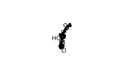 C=C(C)C(=O)OCCOc1ccc(-n2n3c4ccc(Cl)cc4n23)c(O)c1C